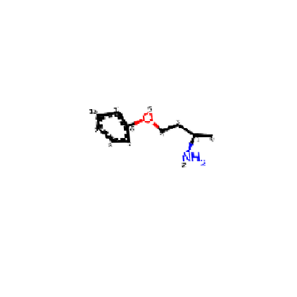 CC(N)CCOc1ccccc1